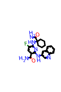 NC(=O)c1cc(F)c(NC2(C(N)=O)CCCCC2)nc1Nc1cnc2ccccc2c1